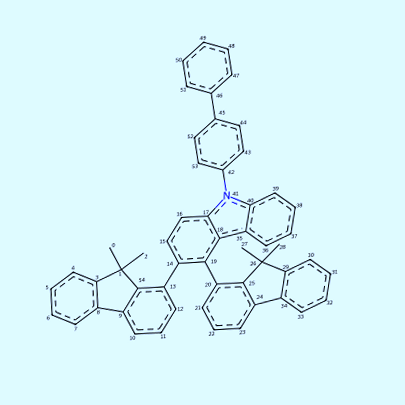 CC1(C)c2ccccc2-c2cccc(-c3ccc4c(c3-c3cccc5c3C(C)(C)c3ccccc3-5)c3ccccc3n4-c3ccc(-c4ccccc4)cc3)c21